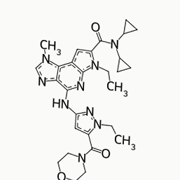 CCn1nc(Nc2nc3c(cc(C(=O)N(C4CC4)C4CC4)n3CC)c3c2ncn3C)cc1C(=O)N1CCOCC1